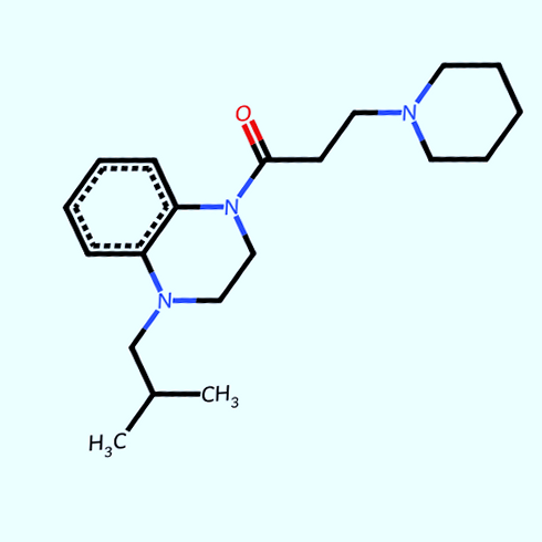 CC(C)CN1CCN(C(=O)CCN2CCCCC2)c2ccccc21